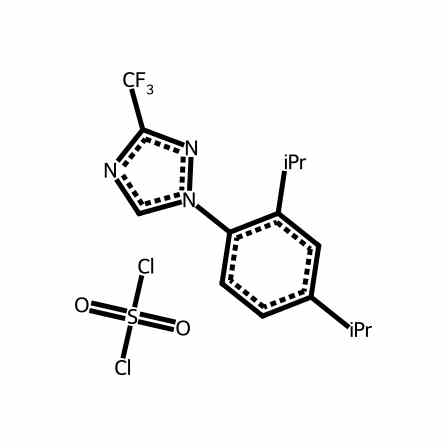 CC(C)c1ccc(-n2cnc(C(F)(F)F)n2)c(C(C)C)c1.O=S(=O)(Cl)Cl